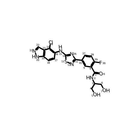 O=C(NC(CO)CO)c1cc(-c2nsc(Nc3ccc4[nH]ncc4c3Cl)n2)ccc1F